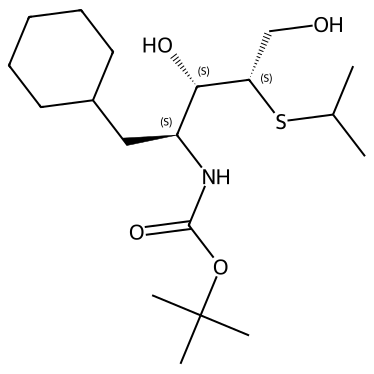 CC(C)S[C@@H](CO)[C@@H](O)[C@H](CC1CCCCC1)NC(=O)OC(C)(C)C